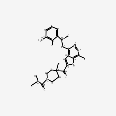 Cc1c([C@@H](C)Nc2nnc(C)c3sc(C(=O)C4(C)CCN(C(=O)N(C)C)CC4)cc23)cccc1C(F)(F)F